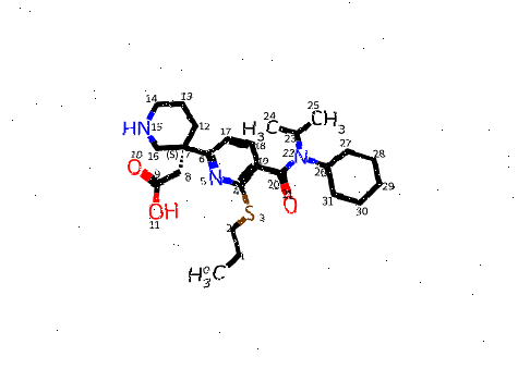 CCCSc1nc([C@]2(CC(=O)O)CCCNC2)ccc1C(=O)N(C(C)C)C1CCCCC1